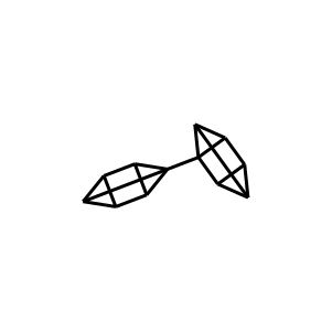 C12C3C1C1(C45C6C7C6C4C75)C2C31